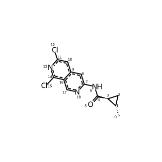 C[C@H]1C[C@@H]1C(=O)Nc1cc2cc(Cl)nc(Cl)c2cn1